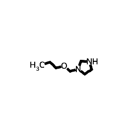 CCCOCN1CCNC1